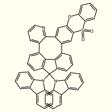 O=S1(=O)c2ccccc2Oc2cc3c(cc21)-c1cccc2c1-c1c(cccc1C2(n1c2ccccc2c2ccccc21)n1c2ccccc2c2ccccc21)-c1cccnc1-3